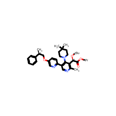 Cc1ncc(-c2ccc(OC[C@H](C)c3ccccc3)cn2)c(N2CCC(C)(C)CC2)c1[C@@H](OC(C)(C)C)C(=O)OC(C)C